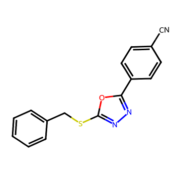 N#Cc1ccc(-c2nnc(SCc3ccccc3)o2)cc1